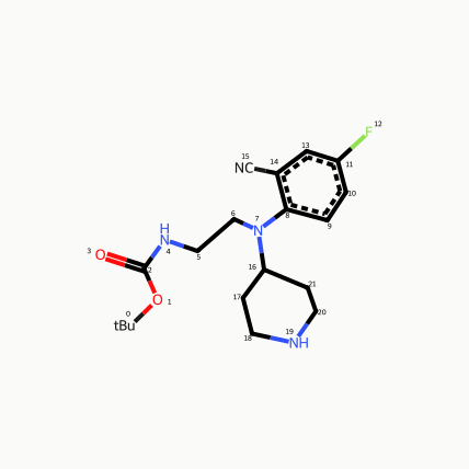 CC(C)(C)OC(=O)NCCN(c1ccc(F)cc1C#N)C1CCNCC1